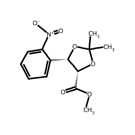 COC(=O)[C@H]1OC(C)(C)O[C@H]1c1ccccc1[N+](=O)[O-]